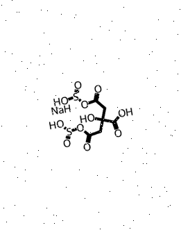 O=C(CC(O)(CC(=O)OS(=O)O)C(=O)O)OS(=O)O.[NaH]